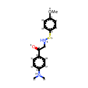 COc1ccc(SNCC(=O)c2ccc(N(C)C)cc2)cc1